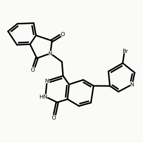 O=C1c2ccccc2C(=O)N1Cc1n[nH]c(=O)c2ccc(-c3cncc(Br)c3)cc12